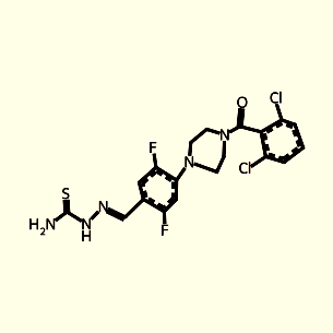 NC(=S)NN=Cc1cc(F)c(N2CCN(C(=O)c3c(Cl)cccc3Cl)CC2)cc1F